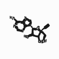 C#C[C@]1(CO)O[C@@H](n2cnc3c(N)ncnc32)C(O)C1O